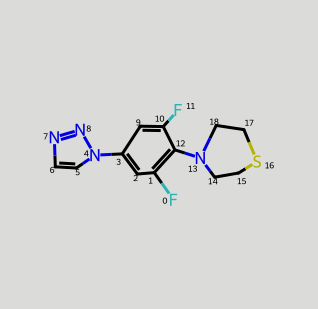 Fc1cc(-n2ccnn2)cc(F)c1N1CCSCC1